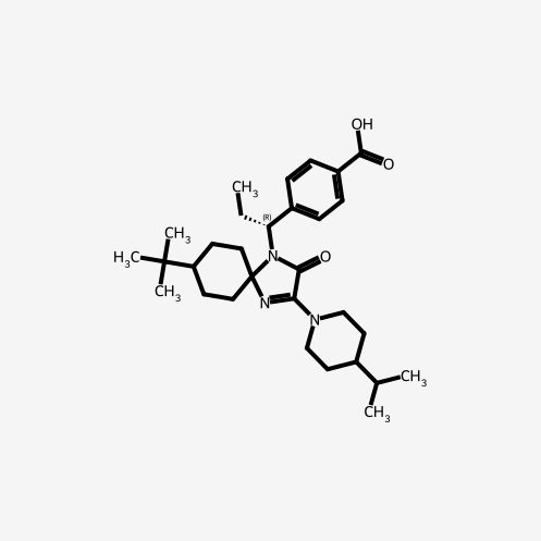 CC[C@H](c1ccc(C(=O)O)cc1)N1C(=O)C(N2CCC(C(C)C)CC2)=NC12CCC(C(C)(C)C)CC2